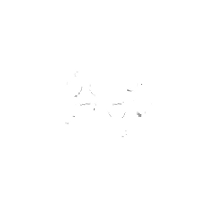 COc1cc(Oc2ccc(C(F)(F)F)cc2OC(F)F)ccc1[C@@]1(C)C[C@@H]1C(=O)O